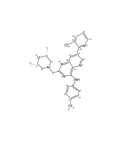 C[C@@H]1CN(Cc2nc(Nc3ccc(C(F)(F)F)cc3)c3ncc(-c4ncccc4Cl)cc3n2)C[C@H](C)O1